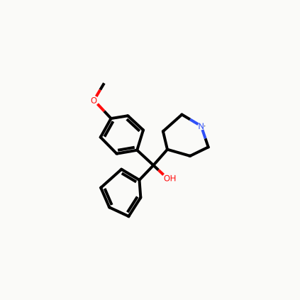 COc1ccc(C(O)(c2ccccc2)C2CC[N]CC2)cc1